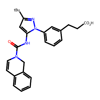 CC(C)(C)c1cc(NC(=O)N2C=Cc3ccccc3C2)n(-c2cccc(CCC(=O)O)c2)n1